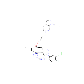 COc1cc2ncnc(Nc3ccc(F)c(Cl)c3)c2cc1OCCCN1CCC2CCN(C)C2C1